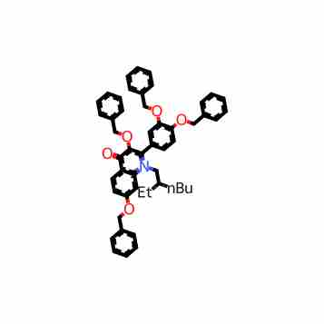 CCCCC(CC)Cn1c(-c2ccc(OCc3ccccc3)c(OCc3ccccc3)c2)c(OCc2ccccc2)c(=O)c2ccc(OCc3ccccc3)cc21